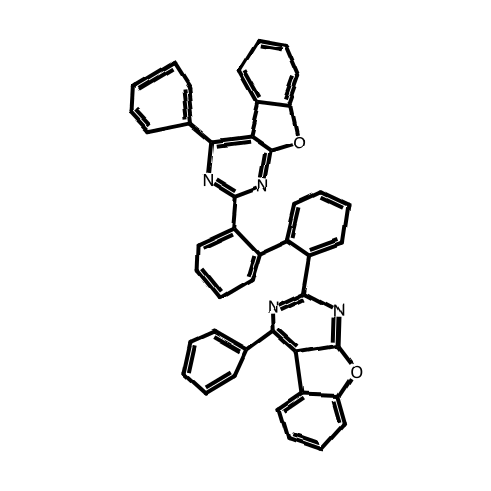 c1ccc(-c2nc(-c3ccccc3-c3ccccc3-c3nc(-c4ccccc4)c4c(n3)oc3ccccc34)nc3oc4ccccc4c23)cc1